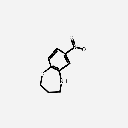 O=[N+]([O-])c1ccc2c(c1)NCCCO2